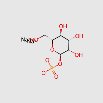 O=P([O-])([O-])O[C@H]1O[C@H](CO)[C@@H](O)[C@H](O)[C@@H]1O.[Na+].[Na+]